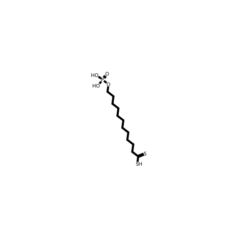 O=P(O)(O)OCCCCCCCCCCCC(=S)S